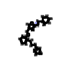 C(=C\c1nc(COc2ccccc2CCCn2cncn2)co1)/c1ccccc1